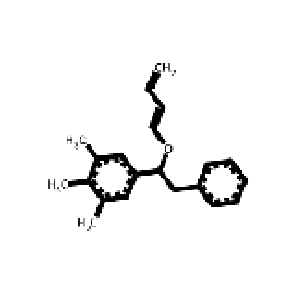 C=CC=COC(Cc1ccccc1)c1cc(C)c(C)c(C)c1